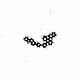 c1cc(-c2ccc3c(c2)sc2c3ccc3c2ccc2c4ccccc4sc23)cc(-c2c3ccccc3c(-c3ccc4ccccc4c3)c3ccccc23)c1